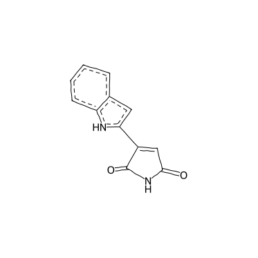 O=C1C=C(c2cc3ccccc3[nH]2)C(=O)N1